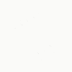 CN(C)CCCCCCN(C)C.CN(C)CCCCCCN(C)C